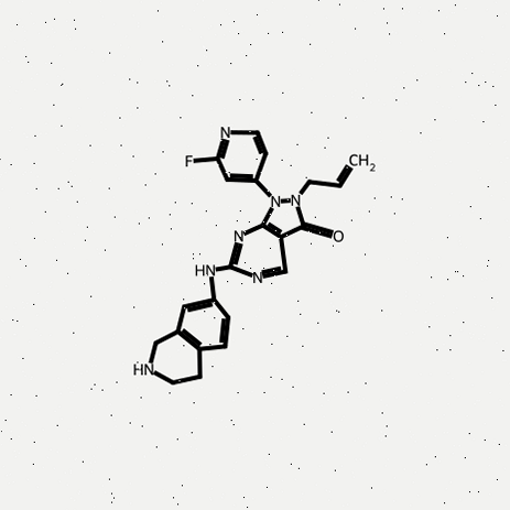 C=CCn1c(=O)c2cnc(Nc3ccc4c(c3)CNCC4)nc2n1-c1ccnc(F)c1